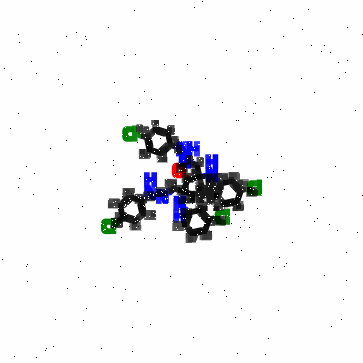 CCCC(C=NNc1ccc(Cl)cc1)(Nc1cccc(Cl)c1)C(=O)C(C=NNc1ccc(Cl)cc1)(CCC)Nc1cccc(Cl)c1